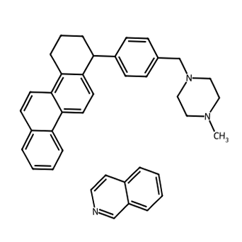 CN1CCN(Cc2ccc(C3CCCc4c3ccc3c4ccc4ccccc43)cc2)CC1.c1ccc2cnccc2c1